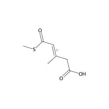 CSC(=O)/C=C(\C)CC(=O)O